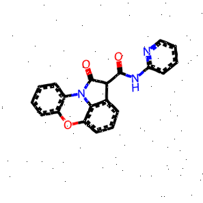 O=C(Nc1ccccn1)C1C(=O)N2c3ccccc3Oc3cccc1c32